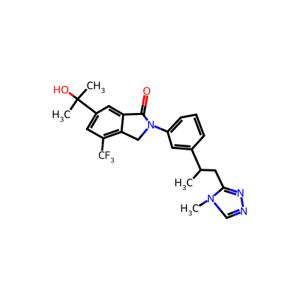 CC(Cc1nncn1C)c1cccc(N2Cc3c(cc(C(C)(C)O)cc3C(F)(F)F)C2=O)c1